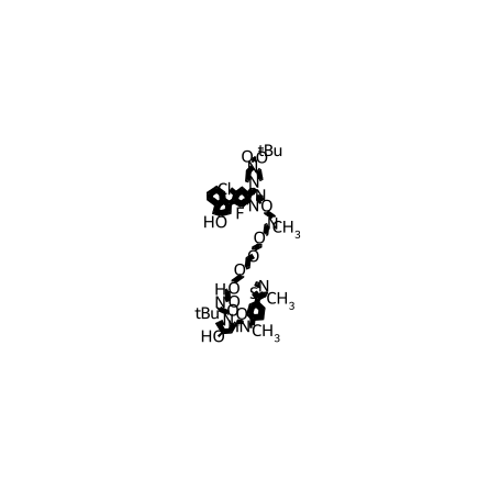 Cc1ncsc1-c1ccc(C(C)NC(=O)[C@@H]2C[C@@H](O)CN2C(=O)C(NC(=O)COCCOCCOCCOCCN(C)CCOc2nc(N3CCN(C(=O)OC(C)(C)C)CC3)c3cc(Cl)c(-c4cc(O)cc5ccccc45)c(F)c3n2)C(C)(C)C)cc1